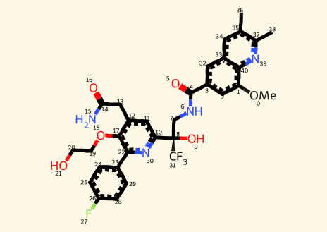 COc1cc(C(=O)NC[C@](O)(c2cc(CC(N)=O)c(OCCO)c(-c3ccc(F)cc3)n2)C(F)(F)F)cc2cc(C)c(C)nc12